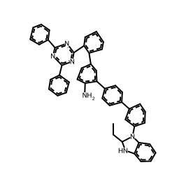 CCC1Nc2ccccc2N1c1cccc(-c2ccc(-c3cc(-c4ccccc4-c4nc(-c5ccccc5)nc(-c5ccccc5)n4)ccc3N)cc2)c1